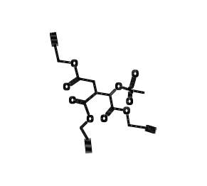 C#CCOC(=O)CC(C(=O)OCC#C)C(OS(C)(=O)=O)C(=O)OCC#C